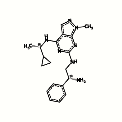 C[C@H](Nc1nc(NC[C@H](N)c2ccccc2)nc2c1cnn2C)C1CC1